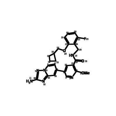 COc1ncc(-c2ccn3nc(N)nc3c2)cc1C(=O)NCc1c(F)cccc1OCC1CCC1